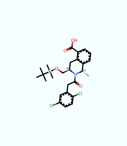 C[C@H]1c2cccc(C(=O)O)c2C[C@H](CO[Si](C)(C)C(C)(C)C)N1C(=O)Cc1cc(Cl)ccc1Cl